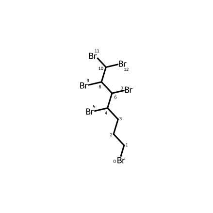 BrCCCC(Br)C(Br)C(Br)C(Br)Br